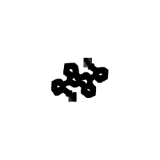 N#Cc1ccccc1-c1cc2c3ccccc3c(-c3ccccc3C#N)cc2c2ccccc12